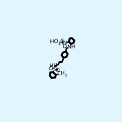 Cc1ccccc1S(=O)(=O)NCC=Cc1ccc(C(=O)Nc2ccccc2NC(=O)O)cc1